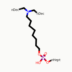 CCCCCCCCCCCN(CCCCCCCCCCC)CCCCCCCCOP(=O)(O)OCCCCCCC